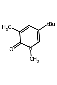 Cc1cc(C(C)(C)C)cn(C)c1=O